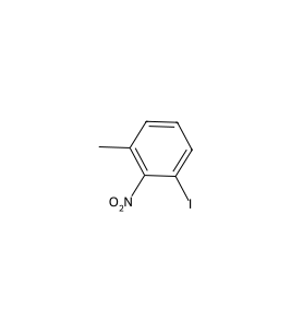 Cc1cccc(I)c1[N+](=O)[O-]